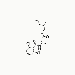 CCCC(C)COC(=O)CC(C)NC(=O)c1c(Cl)cccc1Cl